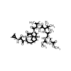 C=C(C)[C@H](NC(=O)C(NC(=O)[C@H](CNC(=O)OC)NC(=O)OC)C(C)(C)C)C(=O)N1C[C@@H]2CC3CC[C@@H](C(=O)C(=O)NC4CC4)NC(=O)[C@@H]1[C@H]2C3